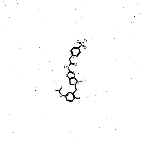 CCS(=O)(=O)c1ccc(CC(=O)Nc2nc3c(s2)CN(Cc2cc(OC(F)F)ccc2F)[C@@H]3C(C)C)cc1